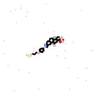 C[C@]12Cc3cn(-c4ccc(OCCCP)cc4)nc3C=C1CC[C@@H]1[C@@H]2C(=O)C[C@@]2(C)[C@H]1CC[C@@]21OCOC12COCO2